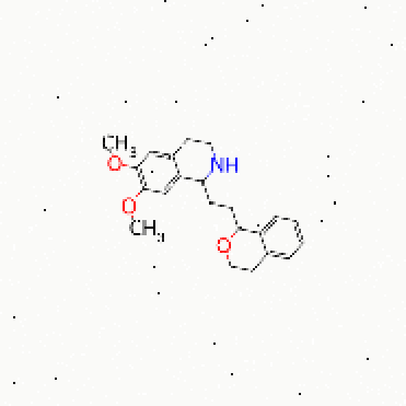 COc1cc2c(cc1OC)C(CCC1OCCc3ccccc31)NCC2